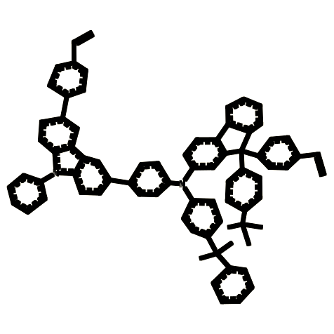 C=Cc1ccc(-c2ccc3c(c2)c2cc(-c4ccc(N(c5ccc(C(C)(C)c6ccccc6)cc5)c5ccc6c(c5)C(c5ccc(C=C)cc5)(c5ccc(C(C)(C)C)cc5)c5ccccc5-6)cc4)ccc2n3-c2ccccc2)cc1